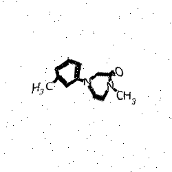 Cc1c[c]cc(N2CCN(C)C(=O)C2)c1